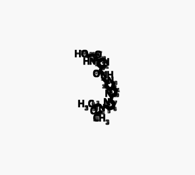 C[C@@H]1CN(c2cccc(-c3ccc4cnc(CNC(=O)c5cncc(S(=N)(=O)CCO)c5)cc4n3)n2)C[C@H](C)O1